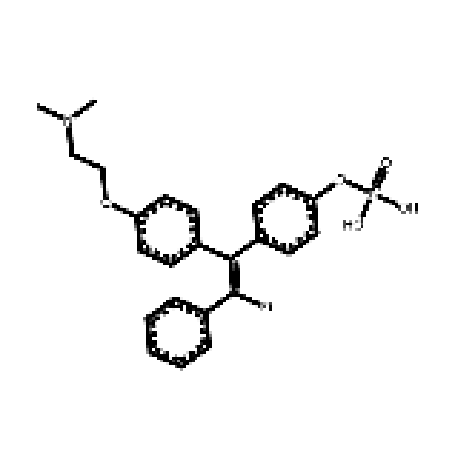 CCC(=C(c1ccc(OCCN(C)C)cc1)c1ccc(OP(=O)(O)O)cc1)c1ccccc1